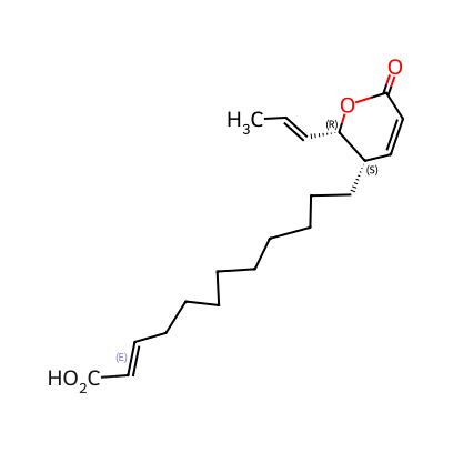 CC=C[C@@H]1OC(=O)C=C[C@@H]1CCCCCCCCC/C=C/C(=O)O